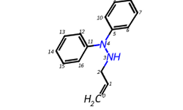 C=CCNN(c1ccccc1)c1ccccc1